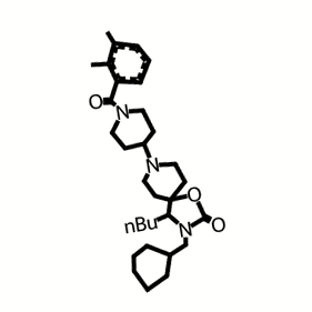 CCCCC1N(CC2CCCCC2)C(=O)OC12CCN(C1CCN(C(=O)c3cccc(C)c3C)CC1)CC2